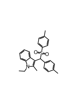 CCn1c(C)c(C(c2ccc(C)cc2)S(=O)(=O)c2ccc(C)cc2)c2ccccc21